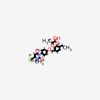 CCc1ccc(COc2ccc(-n3c(=O)cc(C(F)(F)F)n(C)c3=O)cc2)c(OC(C)C(=O)O)c1